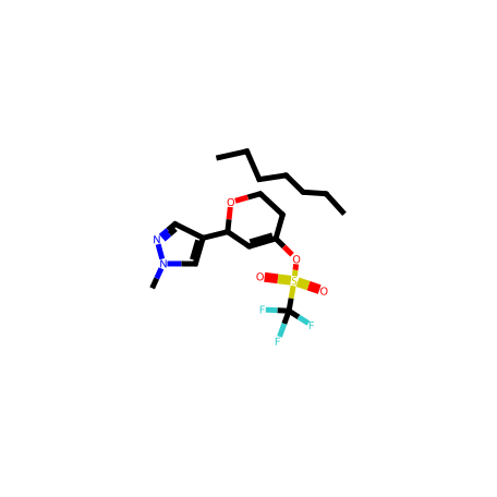 CCCCCCC.Cn1cc(C2C=C(OS(=O)(=O)C(F)(F)F)CCO2)cn1